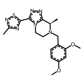 COc1ccc(CN2CCn3c(-c4nc(C)ns4)nnc3[C@H]2C)c(OC)c1